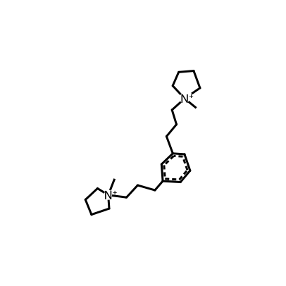 C[N+]1(CCCc2cccc(CCC[N+]3(C)CCCC3)c2)CCCC1